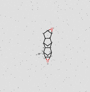 C1C2OC2C2C1C1CC2C2C3C[C@@H](C4OC34)C12